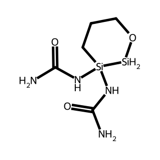 NC(=O)N[Si]1(NC(N)=O)CCCO[SiH2]1